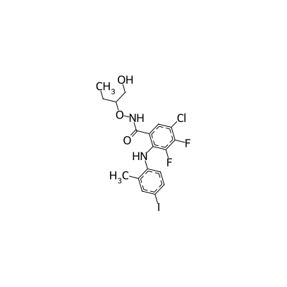 CCC(CO)ONC(=O)c1cc(Cl)c(F)c(F)c1Nc1ccc(I)cc1C